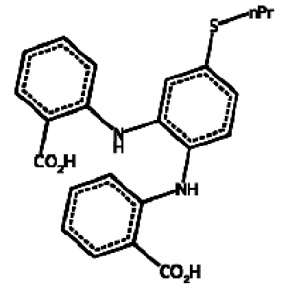 CCCSc1ccc(Nc2ccccc2C(=O)O)c(Nc2ccccc2C(=O)O)c1